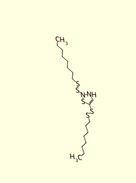 CCCCCCCCSSC1=CNN(SSCCCCCCCC)S1